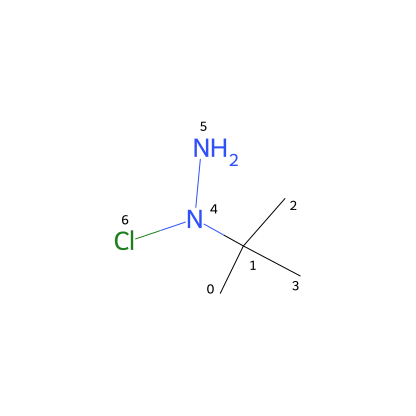 CC(C)(C)N(N)Cl